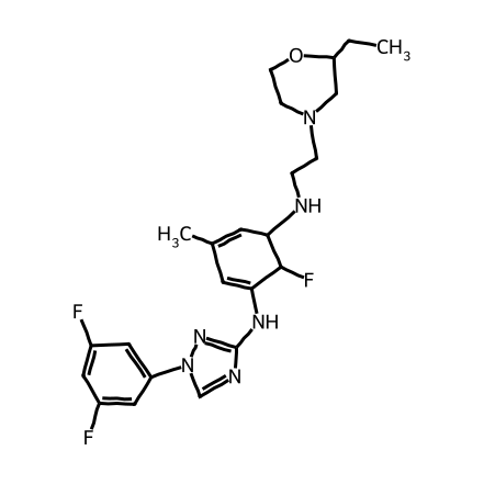 CCC1CN(CCNC2C=C(C)C=C(Nc3ncn(-c4cc(F)cc(F)c4)n3)C2F)CCO1